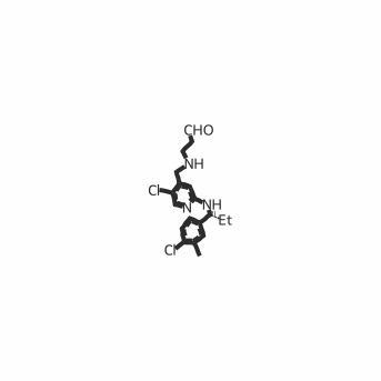 CC[C@@H](Nc1cc(CNCCC=O)c(Cl)cn1)c1ccc(Cl)c(C)c1